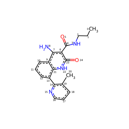 CCCNC(=O)c1c(N)c2cccc(-c3ncccc3C)c2[nH]c1=O